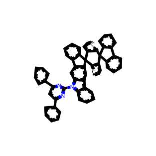 c1ccc(-c2cc(-c3ccccc3)nc(-n3c4ccccc4c4cc5c(cc43)-c3ccccc3C53c4ccccc4C4(c5ccccc5-c5ccccc54)c4ccccc43)n2)cc1